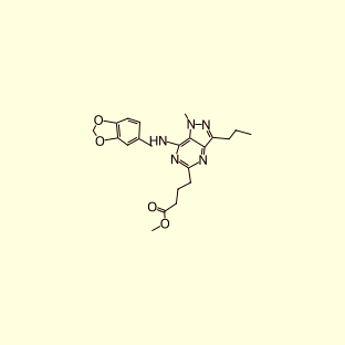 CCCc1nn(C)c2c(NCc3ccc4c(c3)OCO4)nc(CCCC(=O)OC)nc12